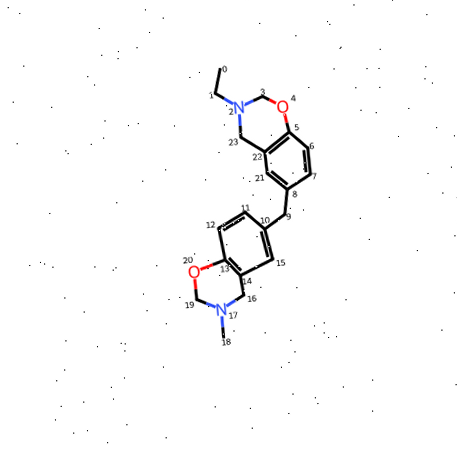 CCN1COc2ccc(Cc3ccc4c(c3)CN(C)CO4)cc2C1